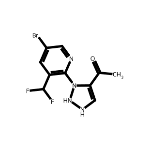 CC(=O)C1=CNNN1c1ncc(Br)cc1C(F)F